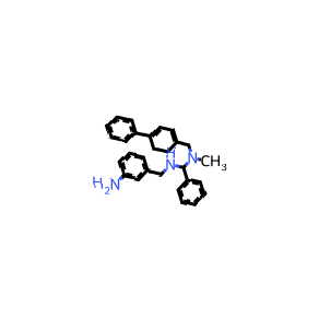 CN(CC1=CC=C(c2ccccc2)CC1)C(NCc1cccc(N)c1)c1ccccc1